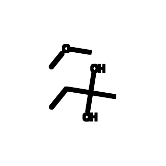 CCC(C)(O)O.COC